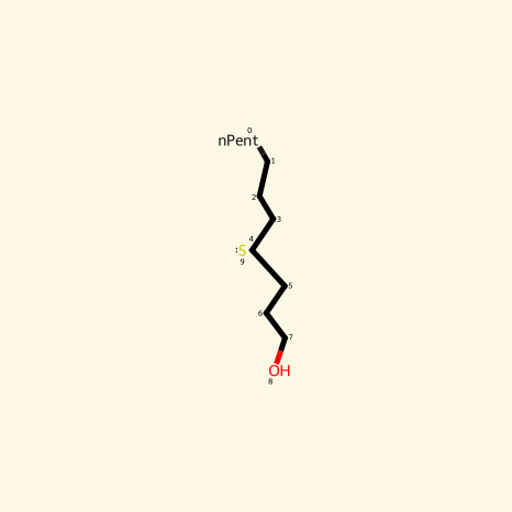 CCCCCCCCCCCCO.[S]